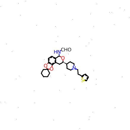 O=CN[C@H]1O[C@@H](C2CCN(CCc3cccs3)CC2)Cc2c1ccc1c2OC2(CCCCC2)O1